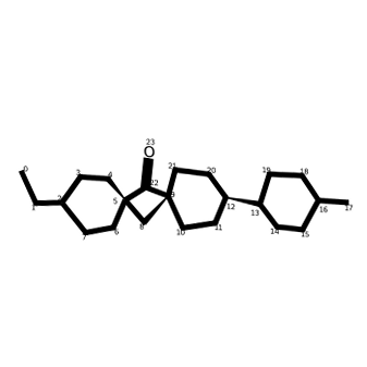 CCC1CC[C@]2(CC1)C[C@@]1(CC[C@H](C3CCC(C)CC3)CC1)C2=O